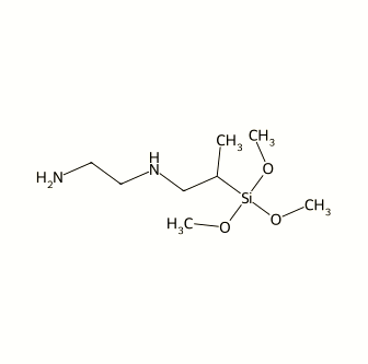 CO[Si](OC)(OC)C(C)CNCCN